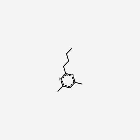 CCCCc1nc(C)cc(C)n1